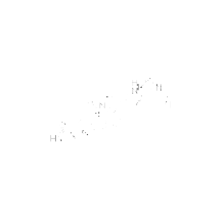 O=C(N[C@H]1CC[C@H](Cn2c(=O)n(-c3ccc(N4CCNC4=O)nc3)c3ccccc32)CC1)c1cc(Cl)cnc1C(F)(F)F